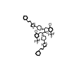 O=C(C(Cc1cc(C(F)(F)F)ccc1Cl)N1CCC(c2nc(C=Cc3ccccc3)cs2)CC1)C(Cc1cc(C(F)(F)F)ccc1Cl)N1CCC(c2nc(C=Cc3ccccc3)cs2)CC1